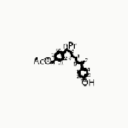 CCCC(CCCCC(C)c1ccc(O)cc1)c1ccc(COC(C)=O)cc1